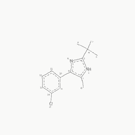 Cc1[nH]c(C(C)(C)C)nc1-c1cccc(Cl)c1